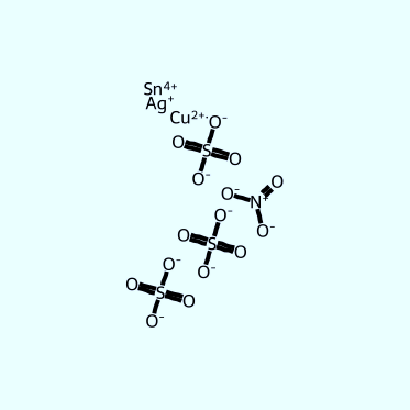 O=S(=O)([O-])[O-].O=S(=O)([O-])[O-].O=S(=O)([O-])[O-].O=[N+]([O-])[O-].[Ag+].[Cu+2].[Sn+4]